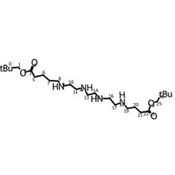 CC(C)(C)COC(=O)CCCCNCCNCCNCCNCCCC(=O)OCC(C)(C)C